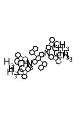 CC1(C)C2=C(C=CCC2)c2ccc(N(c3ccc4c(c3)C(C)(C)c3ccccc3-4)c3ccc4c(-c5cccc6ccccc56)c5cc(N(C6=CCC7C(=C6)C(C)(C)c6ccccc67)c6ccc7c(c6)C(C)(C)c6ccccc6-7)ccc5c(-c5cccc6ccccc56)c4c3)cc21